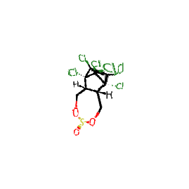 O=[S@@]1OC[C@@H]2[C@H](CO1)[C@@]1(Cl)C(Cl)=C(Cl)[C@]2(Cl)C1(Cl)Cl